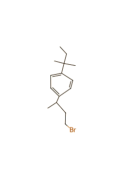 CCC(C)(C)c1ccc(C(C)CCBr)cc1